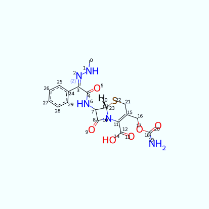 CN/N=C(\C(=O)NC1C(=O)N2C(C(=O)O)=C(COC(N)=O)CS[C@@H]12)c1ccccc1